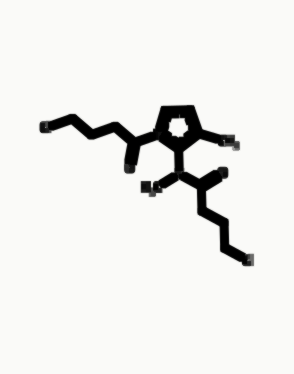 Cc1ccn(C(=O)CCCCl)c1N(C)C(=O)CCCCl